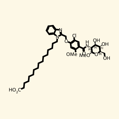 COc1cc(OCc2nc3ccccc3n2CCCCCCCCCCCCCCCC(=O)O)c(Cl)cc1C(=O)N[C@H]1[C@@H](OC)O[C@H](CO)[C@@H](O)[C@@H]1O